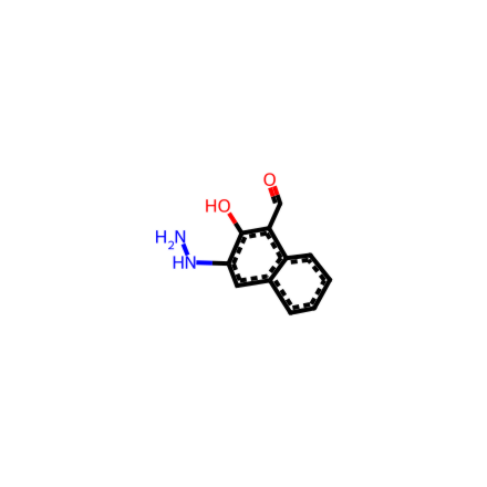 NNc1cc2ccccc2c(C=O)c1O